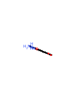 CCCCCCCCCCCCCCCCCCOCCNCCNCCN